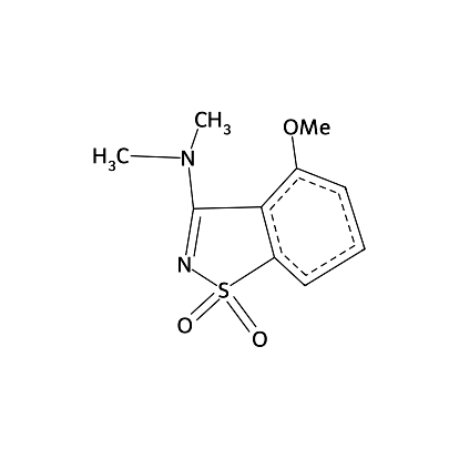 COc1cccc2c1C(N(C)C)=NS2(=O)=O